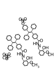 COc1cccc(C=NNC(=O)c2ccc(C(=C(c3ccccc3)c3ccccc3)c3ccccc3)cc2)c1O.COc1cccc(C=NNC(=O)c2ccc(C(=C(c3ccccc3)c3ccccc3)c3ccccc3)cc2)c1O.O=[N+]([O-])[O-].O=[N+]([O-])[O-].[Cd+2]